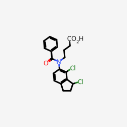 O=C(O)CCCN(C(=O)c1ccccc1)c1ccc2c(c1Cl)C(Cl)CC2